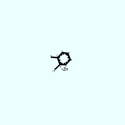 Cc1ccccc1I.[Zn]